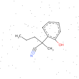 CCCC(C)(C#N)c1ccccc1O